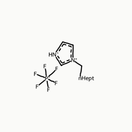 CCCCCCCC[n+]1cc[nH]c1.F[P-](F)(F)(F)(F)F